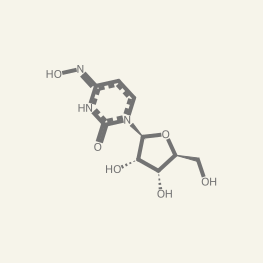 O=c1[nH]/c(=N\O)ccn1[C@H]1O[C@@H](CO)[C@H](O)[C@@H]1O